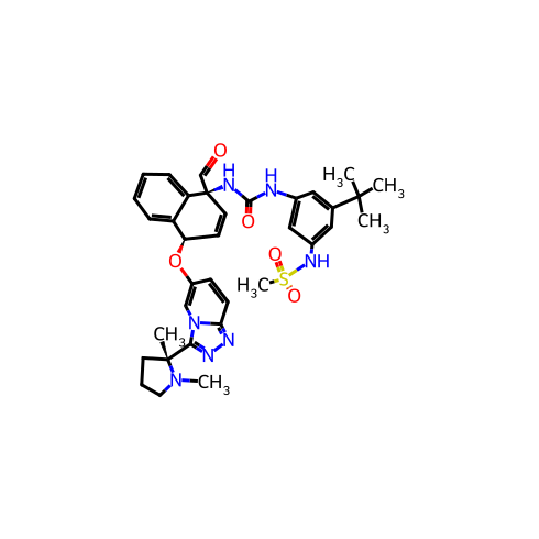 CN1CCC[C@]1(C)c1nnc2ccc(O[C@@H]3C=C[C@](C=O)(NC(=O)Nc4cc(NS(C)(=O)=O)cc(C(C)(C)C)c4)c4ccccc43)cn12